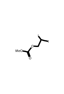 COC(=O)OCC(I)I